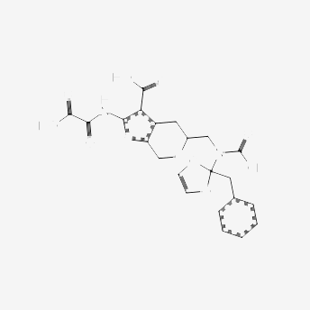 CC(=O)N(CC1Cc2c(sc(NC(=O)C(=O)O)c2C(=O)O)CO1)C1(Cc2ccccc2)OC=CO1